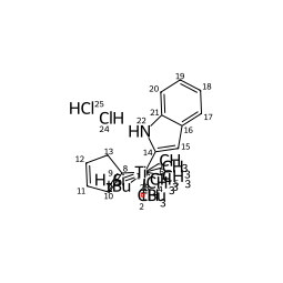 C[C](C)(C)[Ti]([CH3])([CH3])([CH3])([CH3])([CH3])([CH3])(=[SiH2])([C]1=CC=CC1)([c]1cc2ccccc2[nH]1)[C](C)(C)C.Cl.Cl